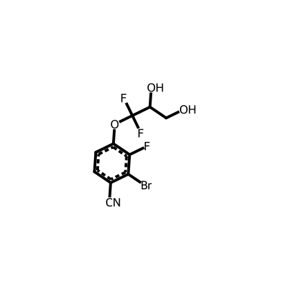 N#Cc1ccc(OC(F)(F)C(O)CO)c(F)c1Br